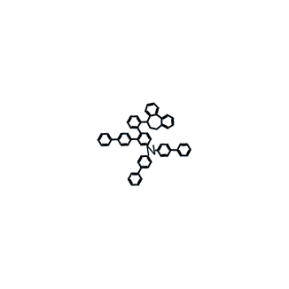 c1ccc(-c2ccc(-c3cc(N(c4ccc(-c5ccccc5)cc4)c4ccc(-c5ccccc5)cc4)ccc3-c3ccccc3C3CCc4ccccc4-c4ccccc43)cc2)cc1